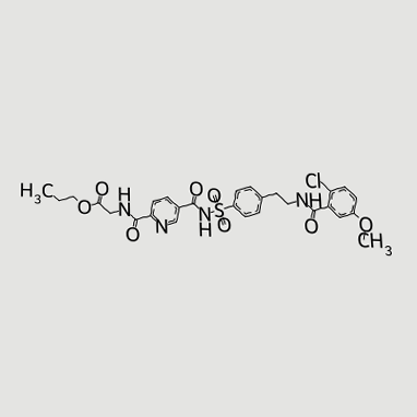 CCCOC(=O)CNC(=O)c1ccc(C(=O)NS(=O)(=O)c2ccc(CCNC(=O)c3cc(OC)ccc3Cl)cc2)cn1